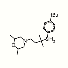 CC1CN(CCC(C)(C)[SiH2]c2ccc(C(C)(C)C)cc2)CC(C)O1